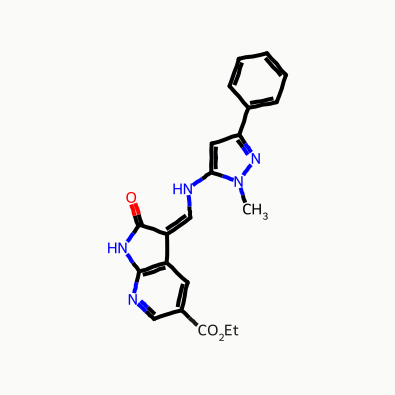 CCOC(=O)c1cnc2c(c1)C(=CNc1cc(-c3ccccc3)nn1C)C(=O)N2